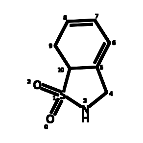 O=S1(=O)NCC2=CC=CCC21